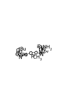 CC(C)[C@H](N)C(=O)N1CC2(CC2)C[C@H]1c1ncc(-c2ccc3c(c2)C(C)(F)c2cc(-c4ccc(-c5cnc([C@@H]6CCCN6C(=O)OC(C)(C)C)[nH]5)cc4)ccc2-3)[nH]1